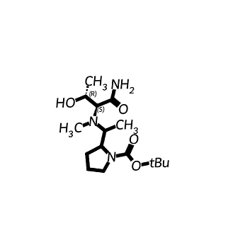 CC(C1CCCN1C(=O)OC(C)(C)C)N(C)[C@H](C(N)=O)[C@@H](C)O